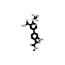 [2H]C([2H])([2H])Oc1ncc(-c2ccc3c(C(=O)NC)n[nH]c3c2)cc1C(=O)O